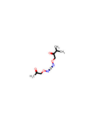 CC(=O)CON=[Si]=NOCC(=O)C(C)C